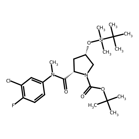 CN(C(=O)[C@@H]1C[C@H](O[Si](C)(C)C(C)(C)C)CN1C(=O)OC(C)(C)C)c1ccc(F)c(Cl)c1